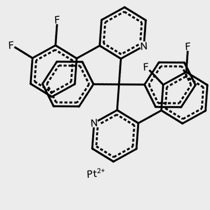 Fc1cccc(-c2cccnc2C(c2ccccc2)(c2ccccc2)c2ncccc2-c2cccc(F)c2F)c1F.[Pt+2]